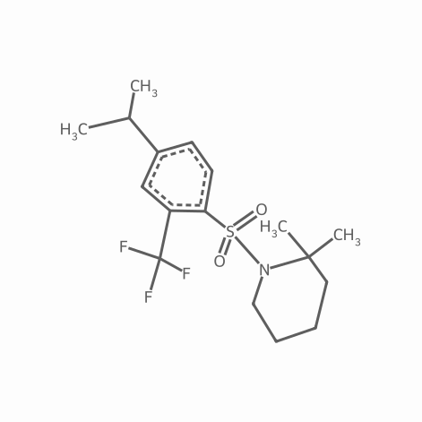 CC(C)c1ccc(S(=O)(=O)N2CCCCC2(C)C)c(C(F)(F)F)c1